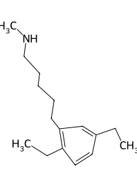 CCc1ccc(CC)c(CCCCCNC)c1